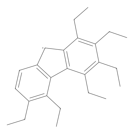 CCc1ccc2c(c1CC)-c1c(c(CC)c(CC)c(CC)c1CC)[CH]2